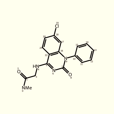 CNC(=O)CNc1nc(=O)n(-c2ccccc2)c2cc(Cl)ccc12